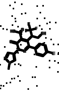 Cn1cc(-n2nc(-c3ccc(Cl)cc3)c(C(CO)C(F)(F)F)c(C(=O)O)c2=O)cn1